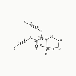 CC#CCC(=O)N(CC#CC)C1CCCCC1(C)C